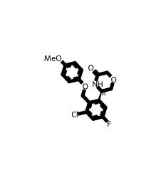 COc1ccc(OCc2c(Cl)cc(F)cc2[C@@H]2COCC(=O)N2)cc1